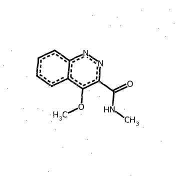 CNC(=O)c1nnc2ccccc2c1OC